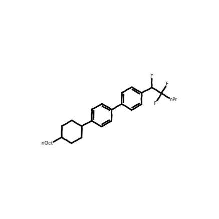 CCCCCCCCC1CCC(c2ccc(-c3ccc(C(F)C(F)(F)CCC)cc3)cc2)CC1